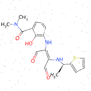 C[C@@H](N/C(C=O)=C(/C=O)Nc1cccc(C(=O)N(C)C)c1O)c1cccs1